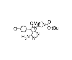 COc1c(-c2ccc(Cl)cc2)c2c(N)ncnc2n1[C@@H]1CCN(C(=O)OC(C)(C)C)C1